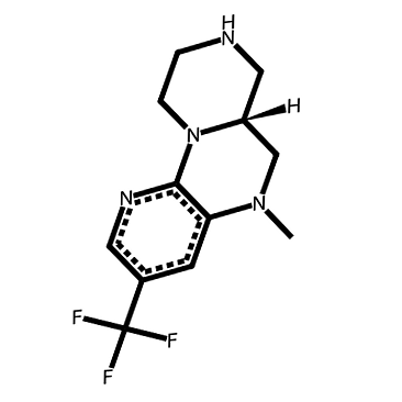 CN1C[C@H]2CNCCN2c2ncc(C(F)(F)F)cc21